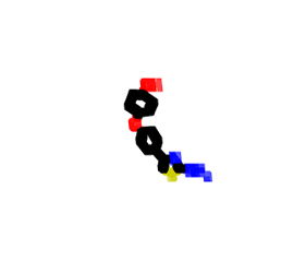 Nc1nc(-c2ccc(Oc3ccc(O)cc3)cc2)cs1